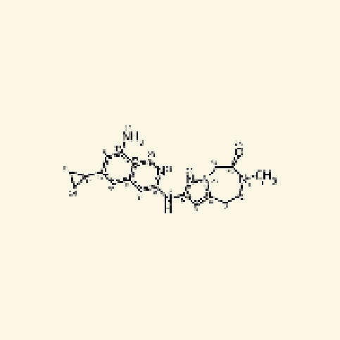 CN1CCc2cc(Nc3cc4cc(C5CC5)cc(N)c4cn3)nn2CC1=O